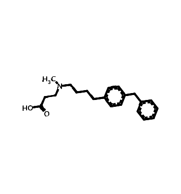 CN(CCCCc1ccc(Cc2ccccc2)cc1)CCC(=O)O